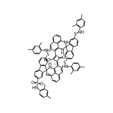 Cc1ccc(NSc2ccc3c(c2)C2(N=c4cccc5cc/c(=C6\C(=O)C(c7ccc8cccc9c8c7NC7(N9)c8cc(SNc9ccc(C)cc9C)ccc8-c8ccc(SNc9ccc(C)cc9C)cc87)=C6O)c(c45)N2)c2cc(S(=O)(=O)Nc4ccc(C)cc4C)ccc2-3)c(C)c1